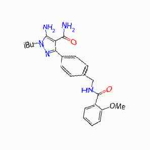 CCC(C)n1nc(-c2ccc(CNC(=O)c3ccccc3OC)cc2)c(C(N)=O)c1N